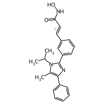 Cc1c(-c2ccccc2)nc(-c2cccc(/C=C/C(=O)NO)c2)n1C(C)C